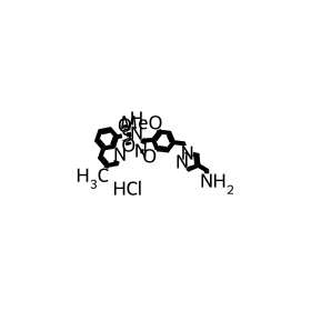 COc1cc(Cn2cc(CN)cn2)cc2onc(NS(=O)(=O)c3cccc4cc(C)cnc34)c12.Cl